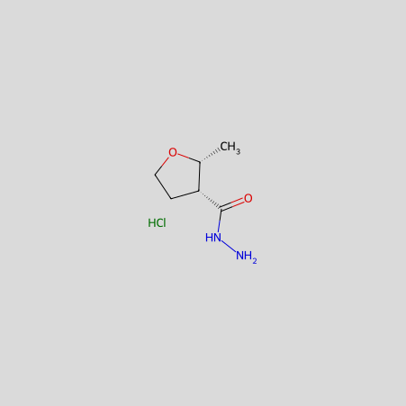 C[C@H]1OCC[C@H]1C(=O)NN.Cl